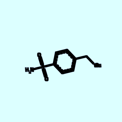 CC(C)(C)Cc1ccc(S(N)(=O)=O)cc1